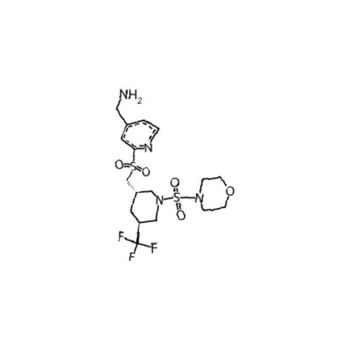 NCc1ccnc(S(=O)(=O)C[C@H]2C[C@H](C(F)(F)F)CN(S(=O)(=O)N3CCOCC3)C2)c1